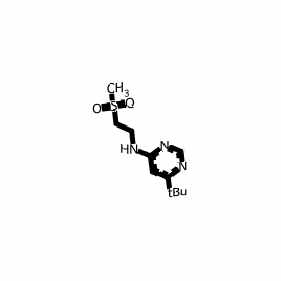 CC(C)(C)c1cc(NCCS(C)(=O)=O)ncn1